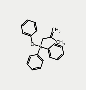 C=C(C)C[Si](Oc1ccccc1)(c1ccccc1)c1ccccc1